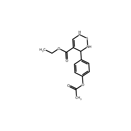 CCOC(=O)C1=CNSNC1c1ccc(OC(C)=O)cc1